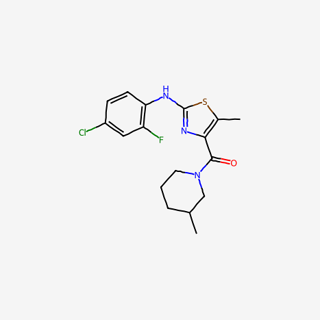 Cc1sc(Nc2ccc(Cl)cc2F)nc1C(=O)N1CCCC(C)C1